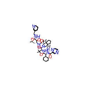 CCC[C@@H](NC(=O)[C@@H]1[C@H]2CCC[C@H]2CN1C(=O)[C@@H](NC(=O)[C@H](NC(=O)c1cnccn1)C1CCCCC1)C(C)(C)C)C(=O)C(=O)NCc1cccnc1